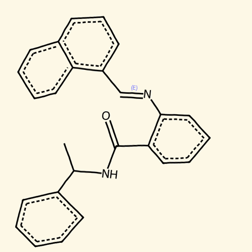 CC(NC(=O)c1ccccc1/N=C/c1cccc2ccccc12)c1ccccc1